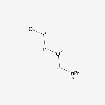 CCCCO[CH]C[O]